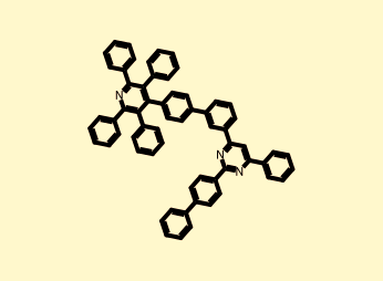 c1ccc(-c2ccc(-c3nc(-c4ccccc4)cc(-c4cccc(-c5ccc(-c6c(-c7ccccc7)c(-c7ccccc7)nc(-c7ccccc7)c6-c6ccccc6)cc5)c4)n3)cc2)cc1